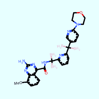 BC(B)(NC(=O)c1nc(N)nc2c(OC)cccc12)c1cccc(C(B)(B)c2ccc(N3CCOCC3)nc2)n1